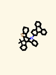 CC1(C)c2ccccc2-c2c1c1sc3ccccc3c1c1c2c2ccccc2n1-c1ccc2c3ccccc3c3ccccc3c2c1